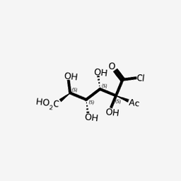 CC(=O)[C@](O)(C(=O)Cl)[C@@H](O)[C@H](O)[C@H](O)C(=O)O